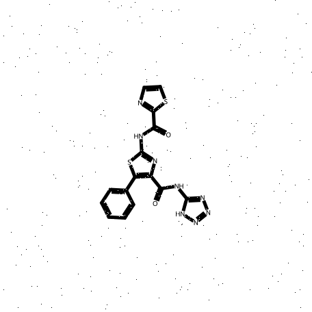 O=C(Nc1nc(C(=O)Nc2nnn[nH]2)c(-c2ccccc2)s1)c1nccs1